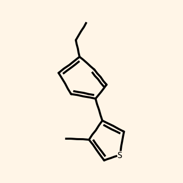 CCc1ccc(-c2cscc2C)cc1